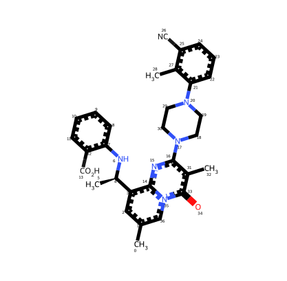 Cc1cc([C@@H](C)Nc2ccccc2C(=O)O)c2nc(N3CCN(c4cccc(C#N)c4C)CC3)c(C)c(=O)n2c1